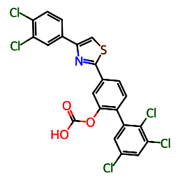 O=C(O)Oc1cc(-c2nc(-c3ccc(Cl)c(Cl)c3)cs2)ccc1-c1cc(Cl)cc(Cl)c1Cl